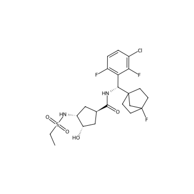 CCS(=O)(=O)N[C@@H]1C[C@@H](C(=O)N[C@H](c2c(F)ccc(Cl)c2F)C23CCC(F)(CC2)C3)C[C@@H]1O